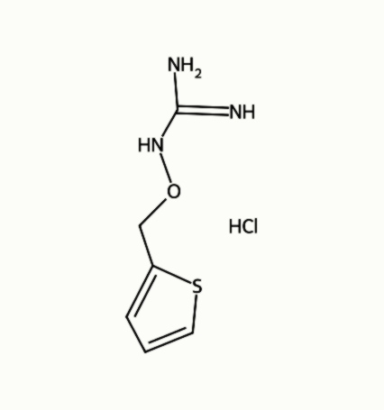 Cl.N=C(N)NOCc1cccs1